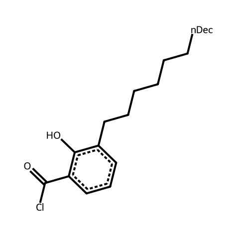 CCCCCCCCCCCCCCCCc1cccc(C(=O)Cl)c1O